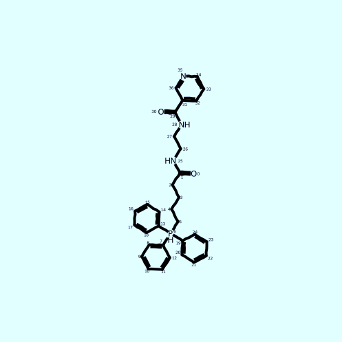 O=C(CCCC[PH](c1ccccc1)(c1ccccc1)c1ccccc1)NCCNC(=O)c1cccnc1